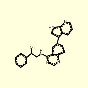 OC(CNc1ncnc2ccc(-c3c[nH]c4ncccc34)cc12)c1ccccc1